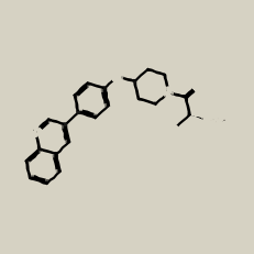 CO[C@@H](C)C(=O)N1CCC(Oc2ccc(-c3cnc4ccccc4c3)cc2)CC1